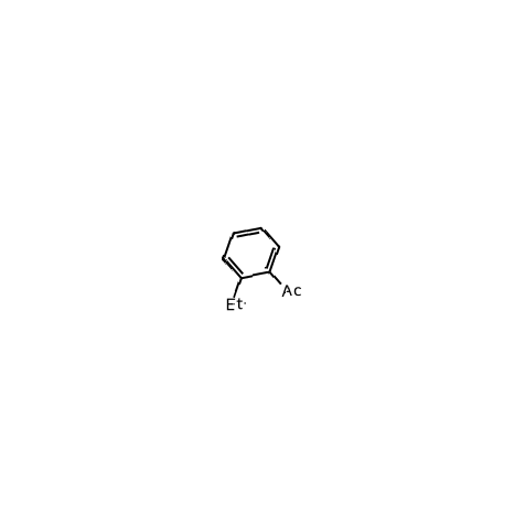 C[CH]c1ccccc1C(C)=O